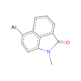 CC(=O)c1ccc2c3c(cccc13)C(=O)N2C